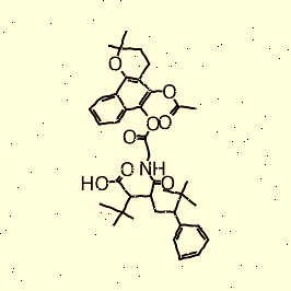 CC(=O)Oc1c2c(c3ccccc3c1OC(=O)CNC(=O)C(CC(c1ccccc1)C(C)(C)C)C(C(=O)O)C(C)(C)C)OC(C)(C)CC2